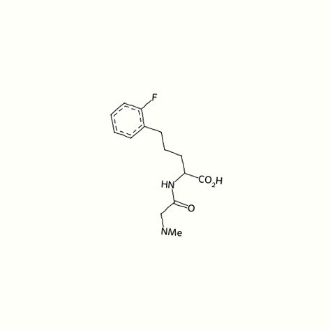 CNCC(=O)NC(CCCc1ccccc1F)C(=O)O